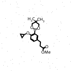 COC(=O)CCc1ccc(OC2CC2)c(B2OCC(C)(C)CO2)c1